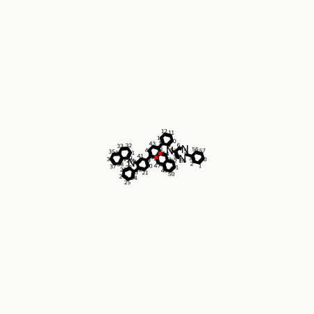 c1ccc(-c2ncc(N(c3ccccc3-c3ccc(-c4ccc5c6ccccc6n(-c6cccc7ccccc67)c5c4)cc3)c3cccc4ccccc34)cn2)cc1